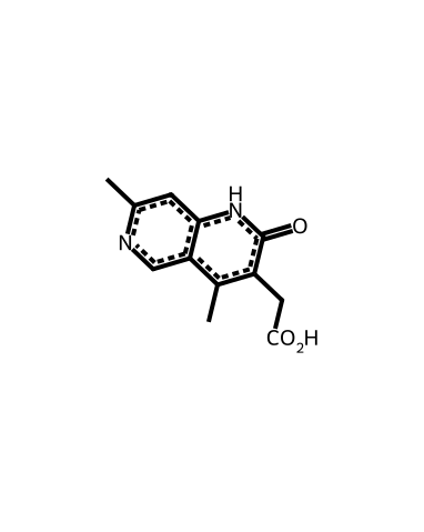 Cc1cc2[nH]c(=O)c(CC(=O)O)c(C)c2cn1